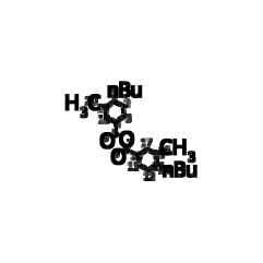 CCCCc1ccc(C(=O)OC(=O)c2ccc(CCCC)c(C)c2)cc1C